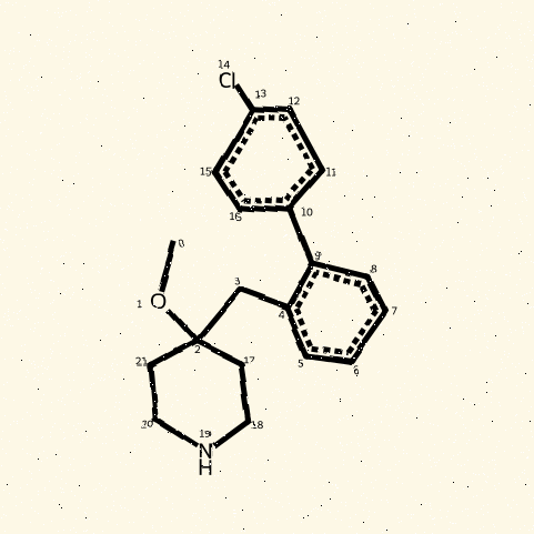 COC1(Cc2ccccc2-c2ccc(Cl)cc2)CCNCC1